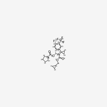 O=C(OCN(C(=O)OCC1CC1)C1(c2ccc(F)c(C(F)(F)F)c2)CC1)N1CCCC1